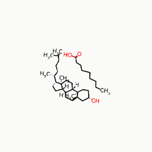 CC(C)CCC[C@@H](C)[C@H]1CC[C@H]2[C@@H]3CC=C4C[C@@H](O)CC[C@]4(C)[C@H]3CC[C@]12C.CCCCCCCCC(=O)O